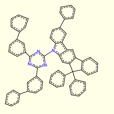 c1ccc(-c2cccc(-c3nc(-c4cccc(-c5ccccc5)c4)nc(-n4c5ccc(-c6ccccc6)cc5c5cc6c(cc54)C(c4ccccc4)(c4ccccc4)c4ccccc4-6)n3)c2)cc1